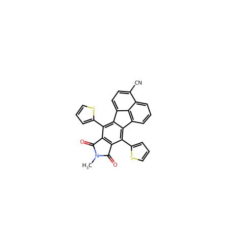 CN1C(=O)c2c(c(-c3cccs3)c3c(c2-c2cccs2)-c2cccc4c(C#N)ccc-3c24)C1=O